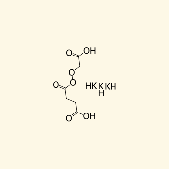 O=C(O)CCC(=O)OOCC(=O)O.[KH].[KH].[KH]